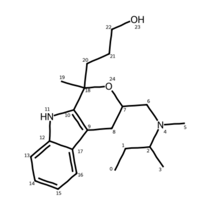 CCC(C)N(C)CC1Cc2c([nH]c3ccccc23)C(C)(CCCO)O1